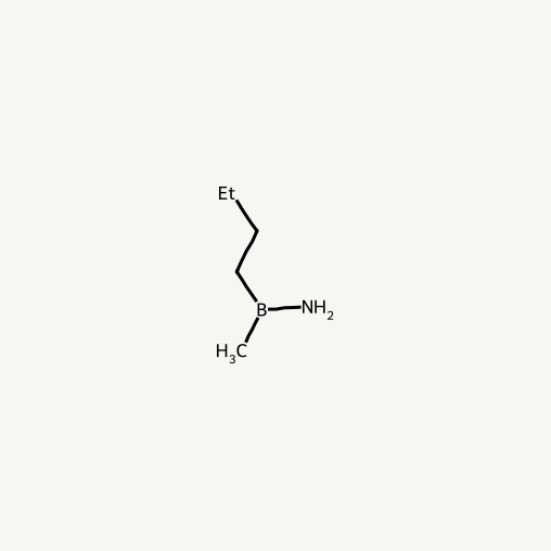 CCCCB(C)N